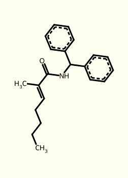 CCCCC=C(C)C(=O)NC(c1ccccc1)c1ccccc1